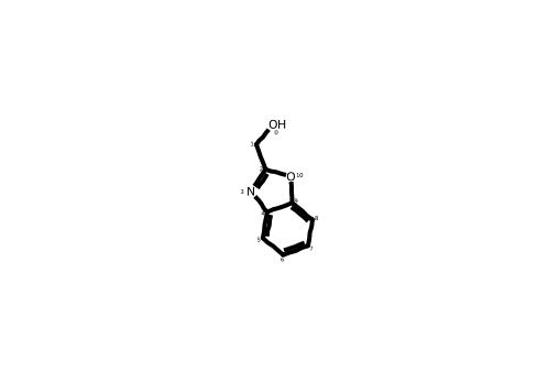 OCc1nc2c[c]ccc2o1